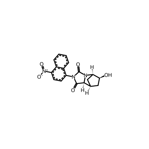 O=C1[C@@H]2[C@H]3C[C@H]([C@@H](O)C3)N2C(=O)N1c1ccc([N+](=O)[O-])c2ccccc12